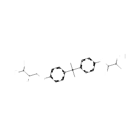 CC(O)C(Cl)Oc1ccc(C(C)(C)c2ccc(OC[C@@H](F)C(F)F)cc2)cc1